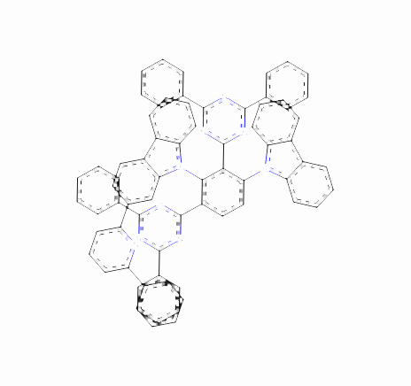 c1ccc(-c2cccc(-c3ccc4c5ccccc5n(-c5c(-c6nc(-c7ccccc7)nc(-c7ccccc7)n6)ccc(-n6c7ccccc7c7ccccc76)c5-c5nc(-c6ccccc6)nc(-c6ccccc6)n5)c4c3)n2)cc1